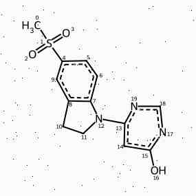 CS(=O)(=O)c1ccc2c(c1)CCN2c1cc(O)ncn1